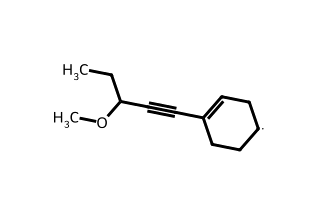 CCC(C#CC1=CC[CH]CC1)OC